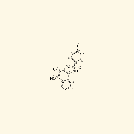 O=S(=O)(Nc1cc(Cl)c(O)c2ccccc12)c1ccc(Cl)cc1